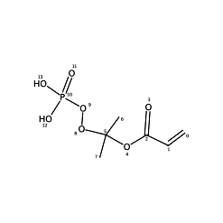 C=CC(=O)OC(C)(C)OOP(=O)(O)O